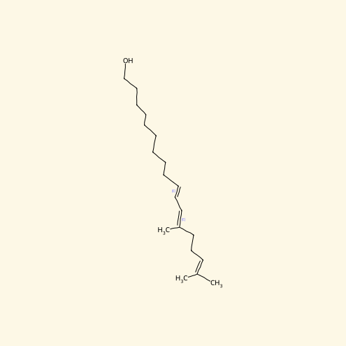 CC(C)=CCC/C(C)=C/C=C/CCCCCCCCCO